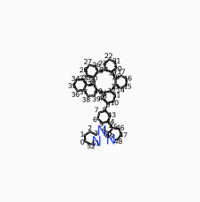 c1ccc(-n2c3ccc(-c4ccc5c6ccccc6c6ccccc6c6ccccc6c6c7ccccc7ccc6c5c4)cc3c3cccnc32)nc1